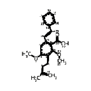 C=C(C)CCc1c(OC)cc(/C=C/c2ccccc2)c(C(=O)O)c1OC